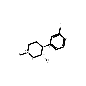 CN1CC[C@@H](c2cccc(Cl)c2)[C@H](O)C1